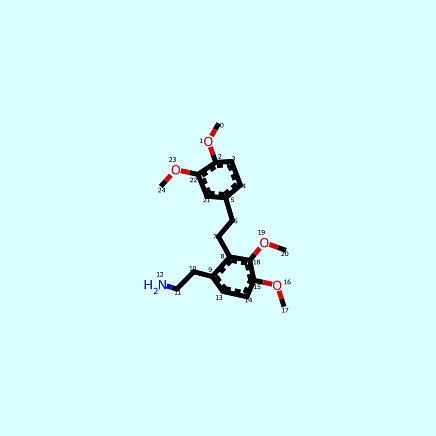 COc1ccc(CCc2c(CCN)ccc(OC)c2OC)cc1OC